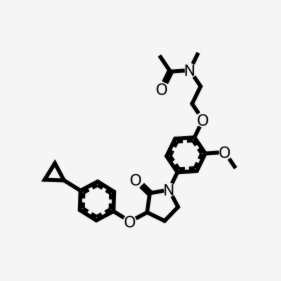 COc1cc(N2CCC(Oc3ccc(C4CC4)cc3)C2=O)ccc1OCCN(C)C(C)=O